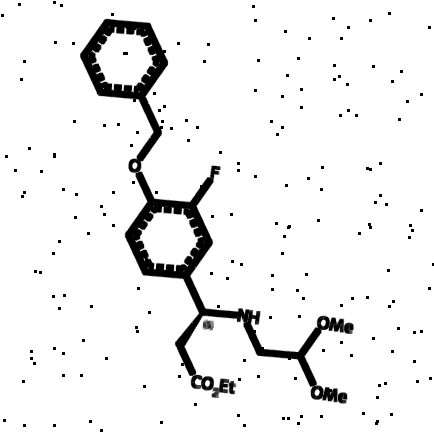 CCOC(=O)C[C@H](NCC(OC)OC)c1ccc(OCc2ccccc2)c(F)c1